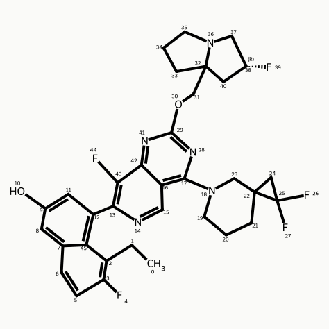 CCc1c(F)ccc2cc(O)cc(-c3ncc4c(N5CCCC6(C5)CC6(F)F)nc(OCC56CCCN5C[C@H](F)C6)nc4c3F)c12